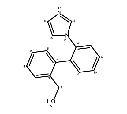 OCc1ccccc1-c1ccccc1-n1ccnc1